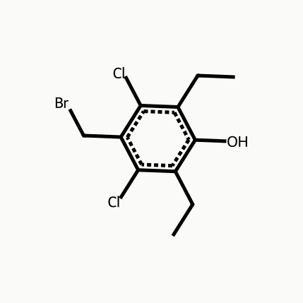 CCc1c(O)c(CC)c(Cl)c(CBr)c1Cl